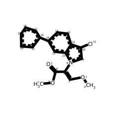 CO/C=C(/C(=O)OC)n1cc(Cl)c2ccc(-c3ccccc3)cc21